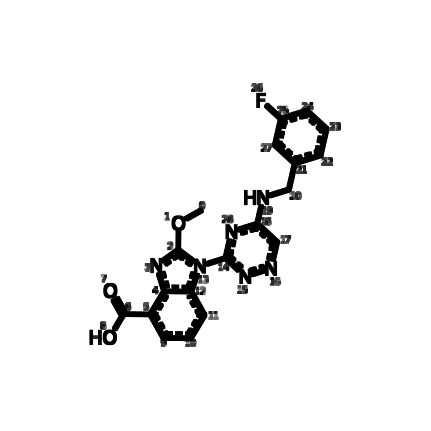 COc1nc2c(C(=O)O)cccc2n1-c1nncc(NCc2cccc(F)c2)n1